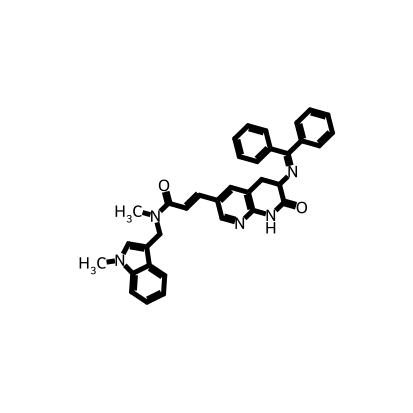 CN(Cc1cn(C)c2ccccc12)C(=O)/C=C/c1cnc2c(c1)CC(N=C(c1ccccc1)c1ccccc1)C(=O)N2